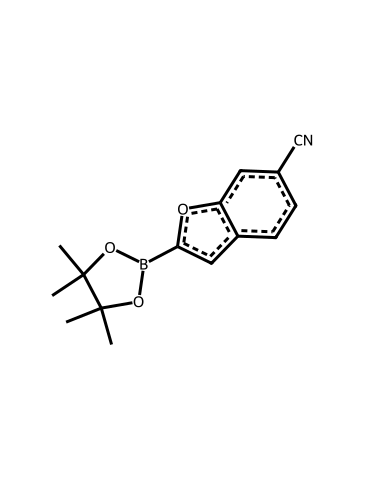 CC1(C)OB(c2cc3ccc(C#N)cc3o2)OC1(C)C